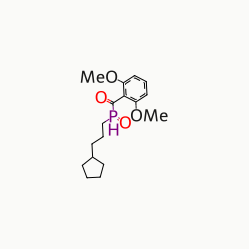 COc1cccc(OC)c1C(=O)[PH](=O)CCCC1CCCC1